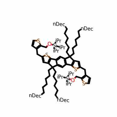 CCCCCCCCCCCCCCCCC1(CCCCCCCCCCCCCCCC)c2cc3c(cc2-c2sc(Cc4ccsc4CO[Si](C(C)C)(C(C)C)C(C)C)cc21)C(CCCCCCCCCCCCCCCC)(CCCCCCCCCCCCCCCC)c1cc(Cc2ccsc2CO[Si](C(C)C)(C(C)C)C(C)C)sc1-3